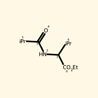 CCOC(=O)C(NC(=O)C(C)C)C(C)C